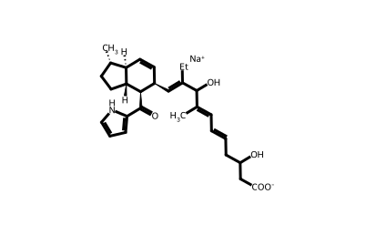 CC/C(=C\[C@@H]1C=C[C@H]2[C@@H](CC[C@@H]2C)[C@@H]1C(=O)c1ccc[nH]1)C(O)/C(C)=C/C=C/CC(O)CC(=O)[O-].[Na+]